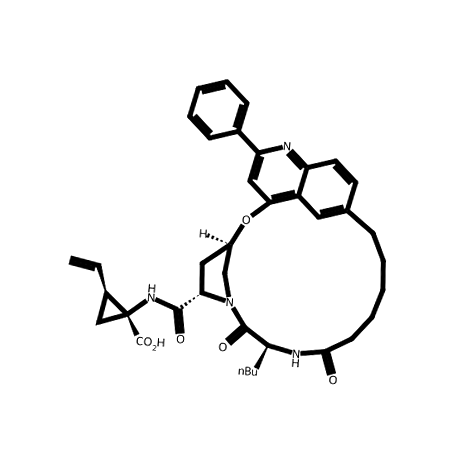 C=C[C@@H]1C[C@]1(NC(=O)[C@@H]1C[C@@H]2CN1C(=O)[C@H](CCCC)NC(=O)CCCCCc1ccc3nc(-c4ccccc4)cc(c3c1)O2)C(=O)O